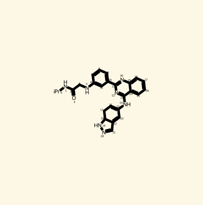 CC(C)NC(=O)CNc1cccc(-c2nc(NC3=CCC4NN=CC4=C3)c3ccccc3n2)c1